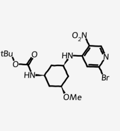 CO[C@H]1C[C@@H](NC(=O)OC(C)(C)C)C[C@@H](Nc2cc(Br)ncc2[N+](=O)[O-])C1